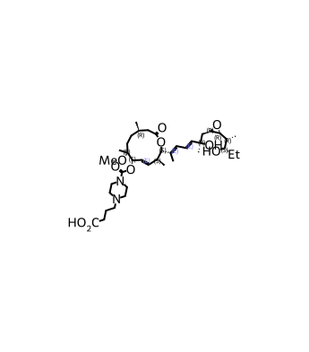 CC[C@H](O)[C@@H](C)[C@H]1O[C@@H]1C[C@@](C)(O)/C=C/C=C(\C)[C@H]1OC(=O)C[C@H](C)CC[C@@](C)(OC)[C@@H](OC(=O)N2CCN(CCCC(=O)O)CC2)/C=C/[C@@H]1C